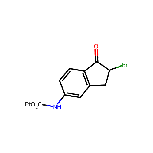 CCOC(=O)Nc1ccc2c(c1)CC(Br)C2=O